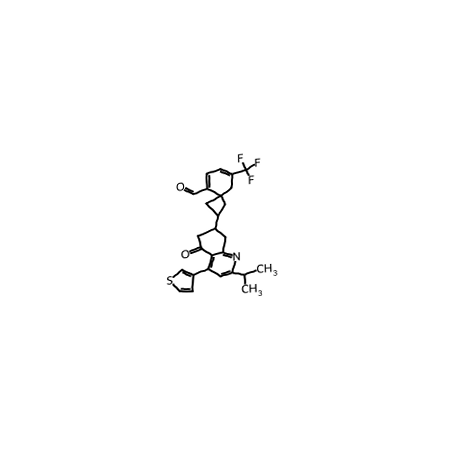 CC(C)c1cc(-c2ccsc2)c2c(n1)CC(C1CC3(CC(C(F)(F)F)=CC=C3C=O)C1)CC2=O